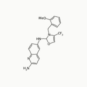 COc1ccccc1CN1C(C(F)(F)F)=COC1Nc1ccc2nc(N)ccc2c1